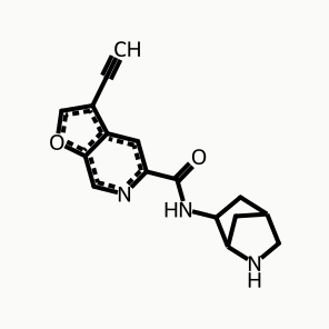 C#Cc1coc2cnc(C(=O)NC3CC4CNC3C4)cc12